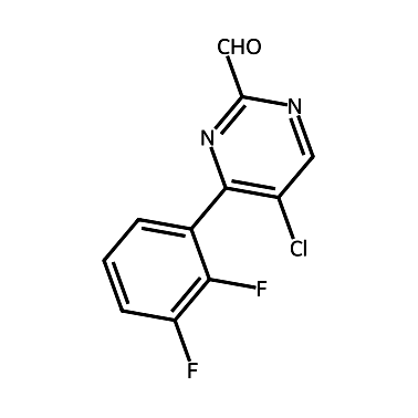 O=Cc1ncc(Cl)c(-c2cccc(F)c2F)n1